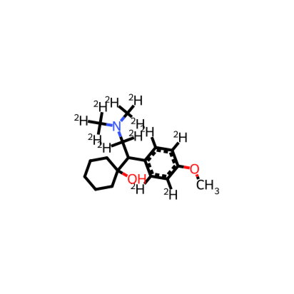 [2H]c1c([2H])c(C(C2(O)CCCCC2)C([2H])([2H])N(C([2H])([2H])[2H])C([2H])([2H])[2H])c([2H])c([2H])c1OC